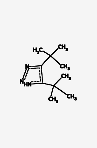 CC(C)(C)c1nn[nH]c1C(C)(C)C